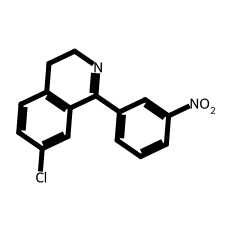 O=[N+]([O-])c1cccc(C2=NCCc3ccc(Cl)cc32)c1